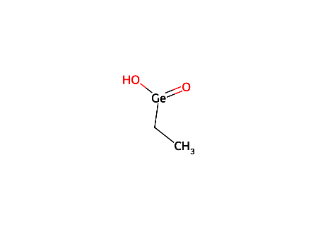 C[CH2][Ge](=[O])[OH]